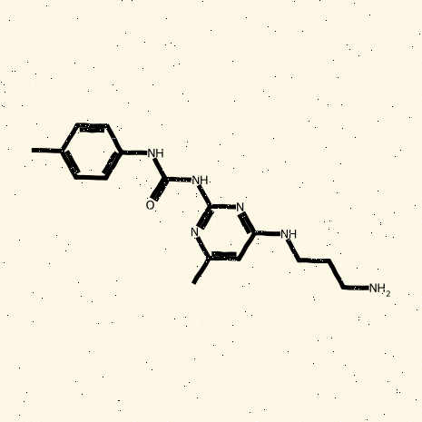 Cc1ccc(NC(=O)Nc2nc(C)cc(NCCCN)n2)cc1